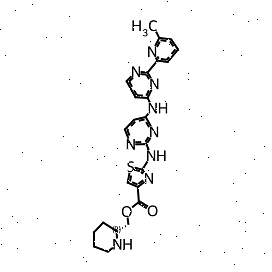 Cc1cccc(-c2nccc(Nc3ccnc(Nc4nc(C(=O)OC[C@H]5CCCCN5)cs4)n3)n2)n1